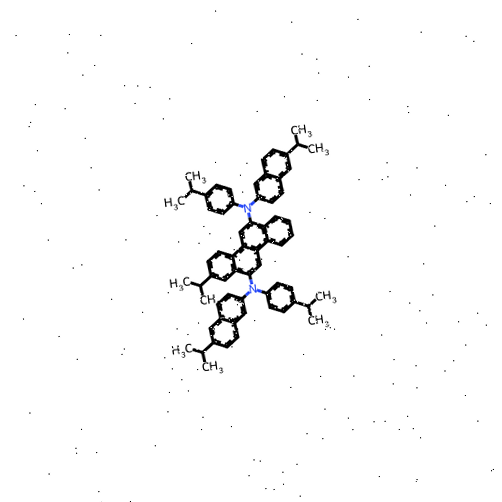 CC(C)c1ccc(N(c2ccc3cc(C(C)C)ccc3c2)c2cc3c4ccc(C(C)C)cc4c(N(c4ccc(C(C)C)cc4)c4ccc5cc(C(C)C)ccc5c4)cc3c3ccccc23)cc1